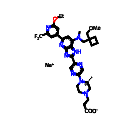 CCOc1cc(-c2cc(N(C)CC3(COC)CCC3)c3[nH]c(-c4cnc(N5CCN(CCC(=O)[O-])C[C@H]5C)cn4)nc3n2)cc(C(F)(F)F)n1.[Na+]